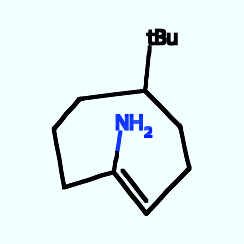 CC(C)(C)C1CC/C=C(\N)CCC1